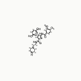 COc1ccc(C(=O)Nc2nc(C(=O)NCCN3CCNCC3)cs2)cc1OC.O=C(O)/C=C\C(=O)O